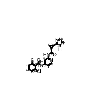 O=C(Nc1ccnc(NC(=O)C2CC2c2nnn[nH]2)c1)c1c(Cl)cccc1Cl